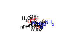 CCC/C=C/C1=C(C(=O)OC(C)OC(C)=O)N2C(=O)[C@@H](NC(=O)/C(=N\OC)c3csc(N)n3)[C@@H]2SC1